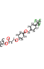 CC(C)OC(=O)CCOc1ccc(OCc2ccc(C(F)(F)F)cc2)cc1